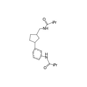 CC(C)C(=O)NCC1CCC(c2cccc(NC(=O)C(C)C)c2)C1